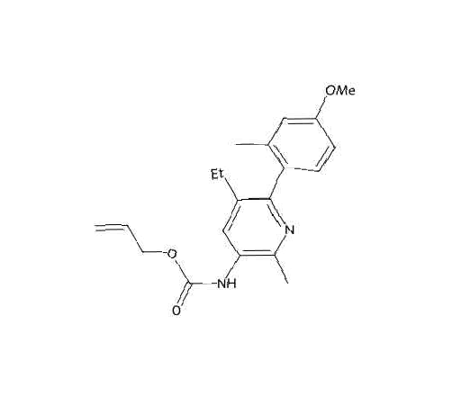 C=CCOC(=O)Nc1cc(CC)c(-c2ccc(OC)cc2C)nc1C